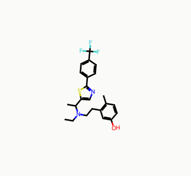 CCN(CCc1cc(O)ccc1C)C(C)c1cnc(-c2ccc(C(F)(F)F)cc2)s1